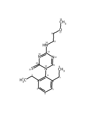 CCc1cccc(CC)c1-n1cnc(NCCOC)nc1=S